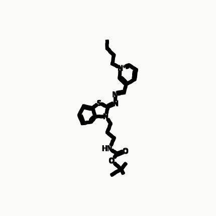 CCCC[n+]1cccc(/C=N/N=c2\sc3ccccc3n2CCCNC(=O)OC(C)(C)C)c1